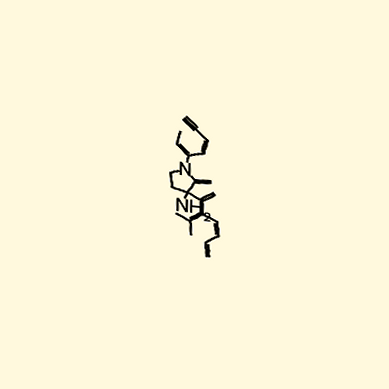 C#C/C=C\C(=C/C)N1CCC(N)(C(=C)C(/C=C\C=C)=C(C)C)C1=C